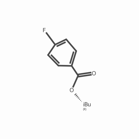 CC[C@@H](C)OC(=O)c1ccc(F)cc1